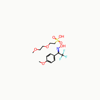 COCCOCCS(=O)(=O)O.COc1ccc(C(=NO)C(F)(F)F)cc1